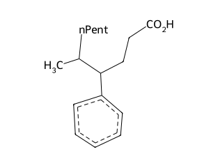 CCCCCC(C)C(CCC(=O)O)c1ccccc1